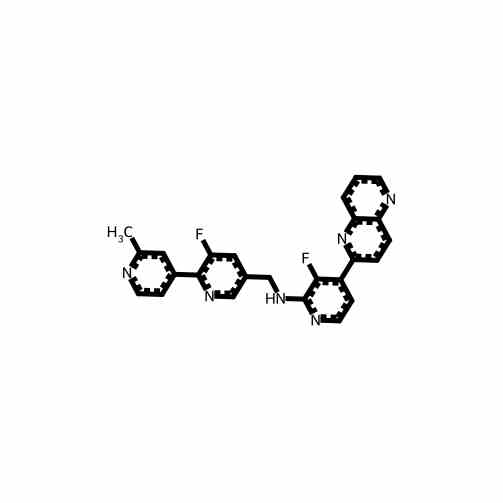 Cc1cc(-c2ncc(CNc3nccc(-c4ccc5ncccc5n4)c3F)cc2F)ccn1